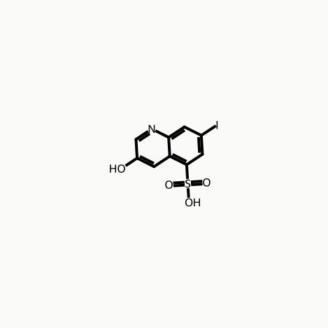 O=S(=O)(O)c1cc(I)cc2ncc(O)cc12